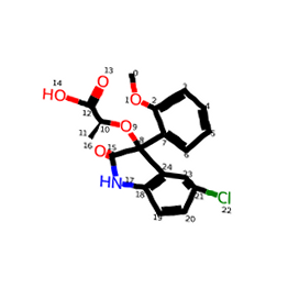 COc1ccccc1C1(O[C@@H](C)C(=O)O)C(=O)Nc2ccc(Cl)cc21